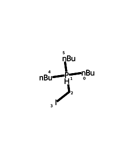 CCCC[PH](CI)(CCCC)CCCC